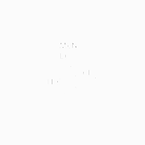 C=C(/C=C(\C=C/NC)CC)c1ccccc1C